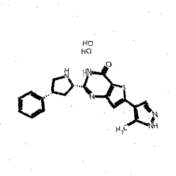 Cc1[nH]ncc1-c1cc2nc([C@@H]3C[C@H](c4ccccc4)CN3)[nH]c(=O)c2s1.Cl.Cl